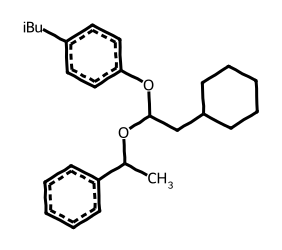 CCC(C)c1ccc(OC(CC2CCCCC2)OC(C)c2ccccc2)cc1